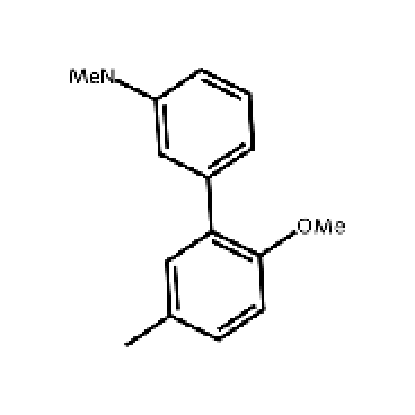 CNc1cccc(-c2cc(C)ccc2OC)c1